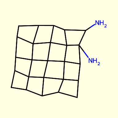 NC1C2C3C4CC5C6C7CC8C9C%10CC%11C%12C1(N)C21C32C54C63C78C94C%10%11C%121C342